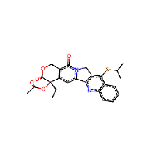 CC[C@@]1(OC(C)=O)C(=O)OCc2c1cc1n(c2=O)Cc2c-1nc1ccccc1c2SC(C)C